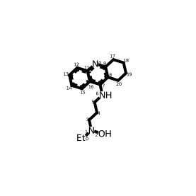 CCN(O)CCCNc1c2c(nc3ccccc13)CCCC2